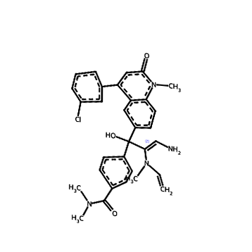 C=CN(C)/C(=C\N)C(O)(c1ccc(C(=O)N(C)C)cc1)c1ccc2c(c1)c(-c1cccc(Cl)c1)cc(=O)n2C